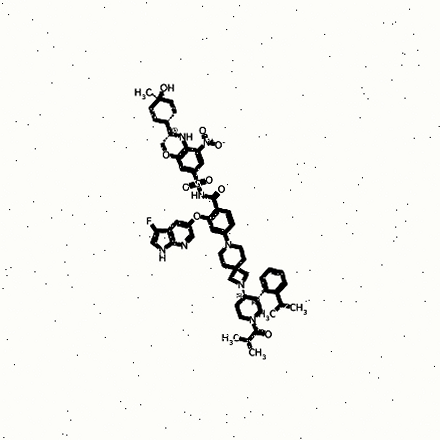 CC(C)C(=O)N1CC[C@H](N2CC3(CCN(c4ccc(C(=O)NS(=O)(=O)c5cc6c(c([N+](=O)[O-])c5)N[C@@H]([C@H]5CC[C@](C)(O)CC5)CO6)c(Oc5cnc6[nH]cc(F)c6c5)c4)CC3)C2)[C@H](c2ccccc2C(C)C)C1